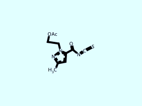 CC(=O)OCCn1nc(C)cc1C(=O)N=C=S